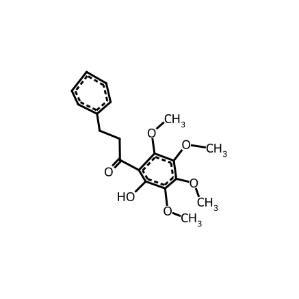 COc1c(O)c(C(=O)CCc2ccccc2)c(OC)c(OC)c1OC